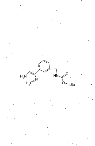 C=N/C(=C\N)c1cccc(CNC(=O)OC(C)(C)C)c1